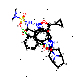 CN(C)S(=O)(=O)NC(=O)c1ccc2nc(N3C4CCC3CC(NCc3c(-c5c(Cl)cccc5Cl)noc3C3CC3)C4)oc2c1